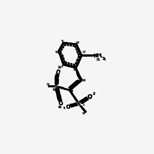 CS(=O)(=O)C(=Cc1ccccc1N)S(C)(=O)=O